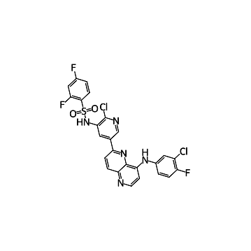 O=S(=O)(Nc1cc(-c2ccc3nccc(Nc4ccc(F)c(Cl)c4)c3n2)cnc1Cl)c1ccc(F)cc1F